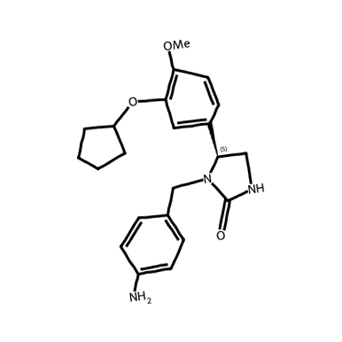 COc1ccc([C@H]2CNC(=O)N2Cc2ccc(N)cc2)cc1OC1CCCC1